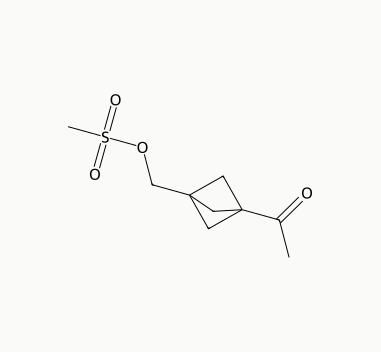 CC(=O)C12CC(COS(C)(=O)=O)(C1)C2